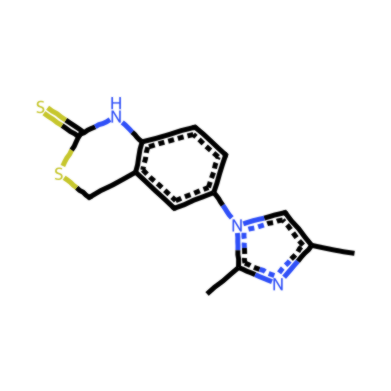 Cc1cn(-c2ccc3c(c2)CSC(=S)N3)c(C)n1